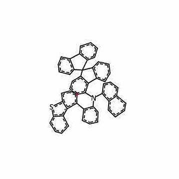 c1ccc(N(c2cccc3c2-c2ccccc2C32c3ccccc3-c3ccccc32)c2cccc3ccccc23)c(-c2cccc3sc4ccccc4c23)c1